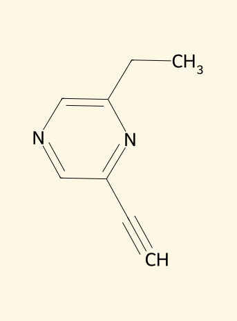 C#Cc1cncc(CC)n1